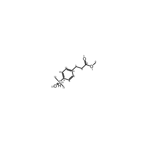 COC(=O)CCc1ccc([SH](C)(C)=O)cc1